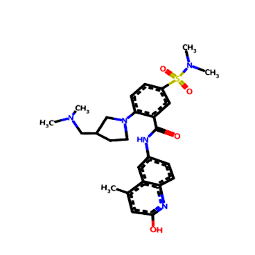 Cc1cc(O)nc2ccc(NC(=O)c3cc(S(=O)(=O)N(C)C)ccc3N3CCC(CN(C)C)C3)cc12